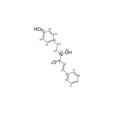 O=C(C=Cc1ccccc1)N(O)CCc1ccc(O)cc1